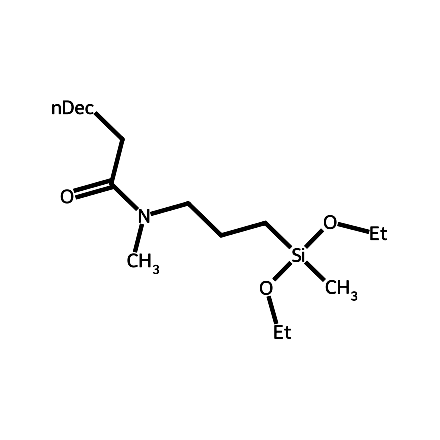 CCCCCCCCCCCC(=O)N(C)CCC[Si](C)(OCC)OCC